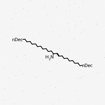 CCCCCCCCCCCCCCCCCCC=CC(N)CCCCCCCCCCCCCCCCCCCCC